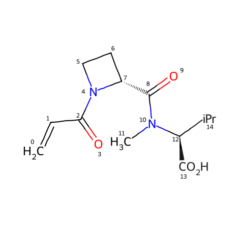 C=CC(=O)N1CC[C@@H]1C(=O)N(C)[C@H](C(=O)O)C(C)C